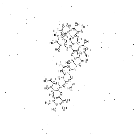 CC(=O)N[C@H]1[C@H](OC[C@H]2OC(O)[C@H](NC(C)=O)[C@@H](O[C@@H]3O[C@H](CO)[C@H](O)[C@H](O[C@@H]4O[C@H](CO)[C@@H](O)[C@H](O)[C@H]4NC(C)=O)[C@H]3O[C@@H]3O[C@@H](C)[C@@H](O)[C@@H](O)[C@@H]3O)[C@H]2O)O[C@H](CO)[C@@H](O[C@@H]2O[C@H](CO)[C@H](O)[C@H](O)[C@H]2O[C@@H]2O[C@@H](C)[C@@H](O)[C@@H](O)[C@@H]2O)[C@@H]1O